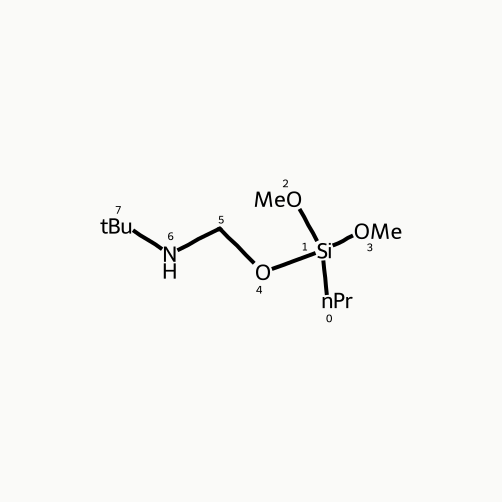 CCC[Si](OC)(OC)OCNC(C)(C)C